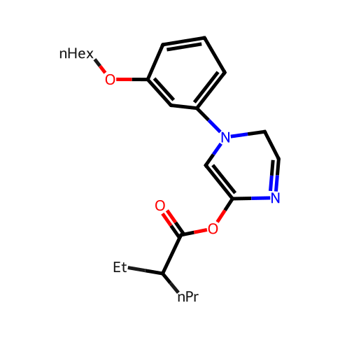 CCCCCCOc1cccc(N2C=C(OC(=O)C(CC)CCC)N=CC2)c1